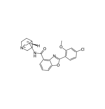 COc1cc(Cl)ccc1-c1nc2c(C(=O)N[C@@H]3CN4CCC3CC4)cccc2o1